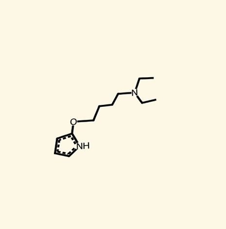 CCN(CC)CCCCOc1ccc[nH]1